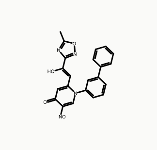 Cc1nc(/C(O)=C/c2cc(=O)c(N=O)cn2-c2cccc(-c3ccccc3)c2)no1